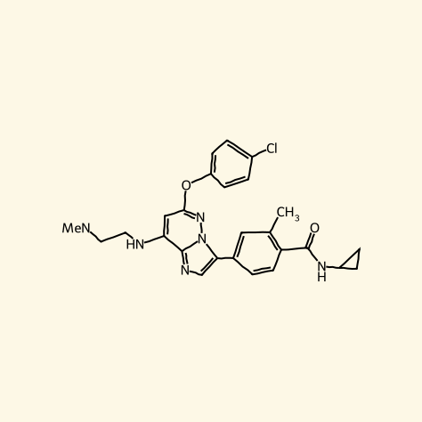 CNCCNc1cc(Oc2ccc(Cl)cc2)nn2c(-c3ccc(C(=O)NC4CC4)c(C)c3)cnc12